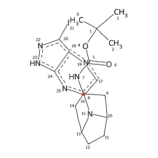 CC(C)(C)OC(=O)NC1CC2CCC(C1)N2c1cnc2c(I)n[nH]c2n1